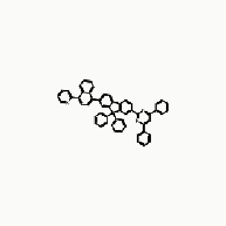 c1ccc(-c2cc(-c3ccccc3)nc(-c3ccc4c(c3)C(c3ccccc3)(c3ccccc3)c3cc(-c5ccc(-c6ccccn6)c6ccccc56)ccc3-4)n2)cc1